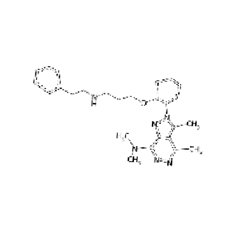 Cc1nnc(N(C)C)c2nn(-c3ccccc3OCCCNCCc3ccccc3)c(C)c12